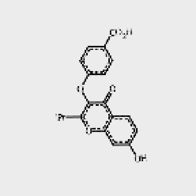 CC(C)c1oc2cc(O)ccc2c(=O)c1Oc1ccc(C(=O)O)cc1